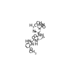 COc1cccc2[nH]c(C(=O)N[C@@H](CC3CC3)C(=O)N[C@H](C#N)C[C@@H]3CC(C)(C)NC3=O)nc12